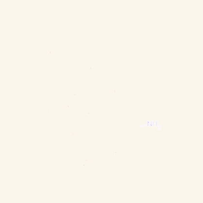 COc1ccc(C(=O)Oc2cc(N)ccc2C(=O)O)c(OC)c1